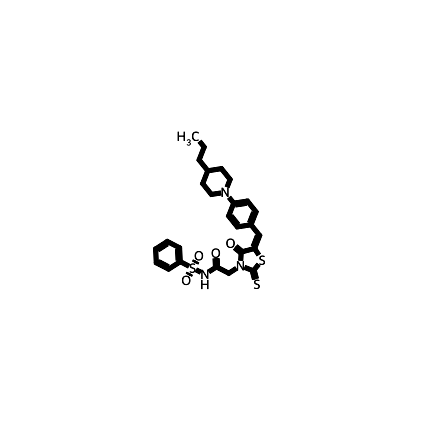 CCCC1CCN(c2ccc(C=C3SC(=S)N(CC(=O)NS(=O)(=O)c4ccccc4)C3=O)cc2)CC1